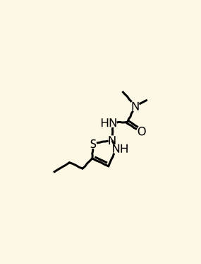 CCCC1=CNN(NC(=O)N(C)C)S1